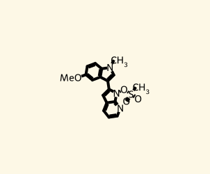 COc1ccc2c(c1)c(-c1cc3cccnc3n1OS(C)(=O)=O)cn2C